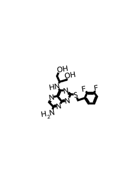 Nc1cnc2c(NC(CO)CO)nc(SCc3cccc(F)c3F)nc2n1